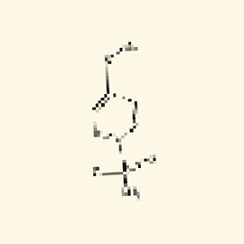 CC(C)(C)Sc1ccc(S(N)(=O)=O)cc1